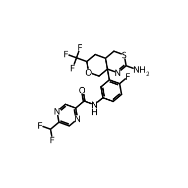 NC1=NC2(c3cc(NC(=O)c4cnc(C(F)F)cn4)ccc3F)COC(C(F)(F)F)CC2CS1